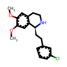 COc1cc2c(cc1OC)[C@H](CCc1cccc(Cl)c1)NCC2